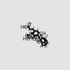 COC1(c2ccc(/C=C/C(=O)O)c(OP(=O)(O)O)c2Cl)OOC12C1CC3CC(C1)CC2C3